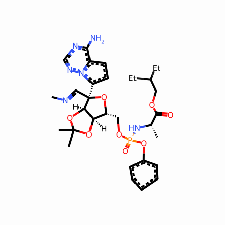 CCC(CC)COC(=O)[C@H](C)N[P@](=O)(OC[C@H]1O[C@@](C=NC)(c2ccc3c(N)ncnn23)[C@@H]2OC(C)(C)O[C@@H]21)Oc1ccccc1